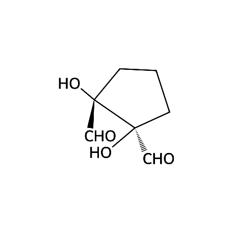 O=C[C@@]1(O)CCC[C@]1(O)C=O